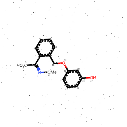 CO/N=C(/C(=O)O)c1ccccc1COc1cccc(O)c1